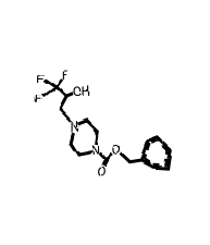 O=C(OCc1ccccc1)N1CCN(CC(O)C(F)(F)F)CC1